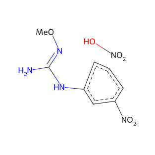 CON=C(N)Nc1cccc([N+](=O)[O-])c1.O=[N+]([O-])O